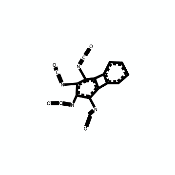 O=C=Nc1c(N=C=O)c(N=C=O)c2c(c1N=C=O)-c1ccccc1-2